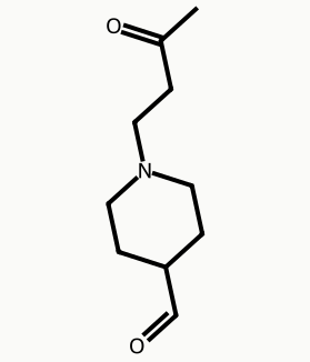 CC(=O)CCN1CCC(C=O)CC1